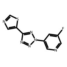 Fc1cncc(-n2nnc(-c3cncs3)n2)c1